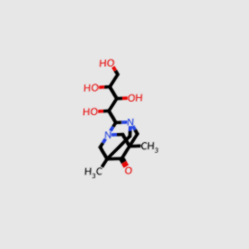 CC12CN3CC(C)(CN(C1)C3C(O)C(O)C(O)CO)C2=O